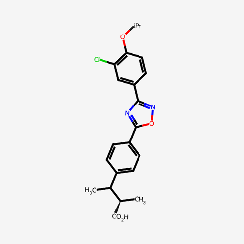 CC(C)Oc1ccc(-c2noc(-c3ccc(C(C)[C@@H](C)C(=O)O)cc3)n2)cc1Cl